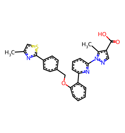 Cc1csc(-c2ccc(COc3ccccc3-c3cccc(-n4ncc(C(=O)O)c4C)n3)cc2)n1